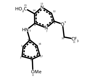 COc1ccc(Nc2nc(OCC(F)(F)F)cnc2C(=O)O)cc1